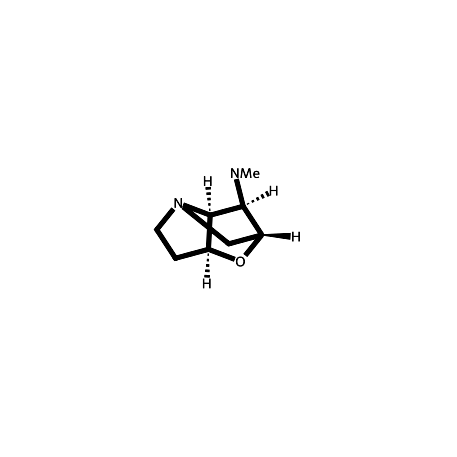 CN[C@@H]1[C@H]2[C@@H]3CCN2C[C@H]1O3